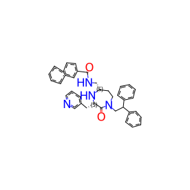 O=C(NC[C@@H]1CCN(CC(c2ccccc2)c2ccccc2)C(=O)[C@H](Cc2cccnc2)N1)c1ccc2ccccc2c1